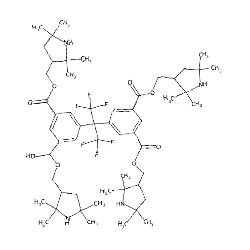 CC1(C)CC(COC(=O)c2cc(C(=O)OCC3CC(C)(C)NC3(C)C)cc(C(c3cc(C(=O)OCC4CC(C)(C)NC4(C)C)cc(C(O)OCC4CC(C)(C)NC4(C)C)c3)(C(F)(F)F)C(F)(F)F)c2)C(C)(C)N1